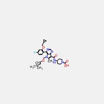 Cc1c(C(=O)NC2CCN(C(=O)O)CC2)c2ncnc(-c3ccc(F)cc3OCC3CC3)c2n1COCC[Si](C)(C)C